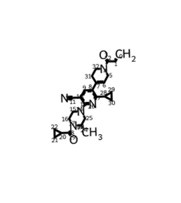 C=CC(=O)N1CC=C(c2cc(C#N)c(N3CCN(C(=O)C4CC4)[C@H](C)C3)nc2C2CC2)CC1